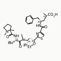 CCO[C@H](C[C@H](C(C)C)N(C)C(=O)[C@@H](NC(=O)C1(C)CCCN1C)[C@@H](C)CC)c1nc(C(=O)N[C@@H](Cc2ccccc2)C[C@H](C)C(=O)O)cs1